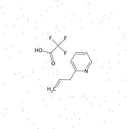 C=CCc1ccccn1.O=C(O)C(F)(F)F